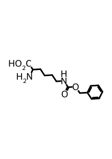 NC(CCCCNC(=O)OCc1ccccc1)C(=O)O